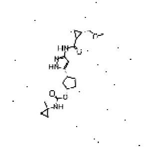 COC[C@H]1CC1C(=O)Nc1cc([C@@H]2CC[C@H](OC(=O)NC3(C)CC3)C2)[nH]n1